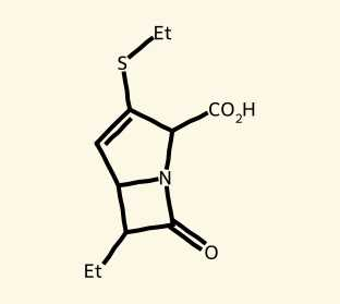 CCSC1=CC2C(CC)C(=O)N2C1C(=O)O